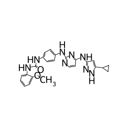 COc1ccccc1NC(=O)Nc1ccc(Nc2nccc(Nc3cc(C4CC4)[nH]n3)n2)cc1